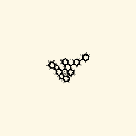 c1ccc(-c2ccc(-c3c4ccccc4c(-c4c5sc6ccccc6c5cc5sc6ccccc6c45)c4ccccc34)cc2)cc1